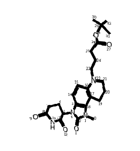 Cn1c(=O)n(C2CCC(=O)NC2=O)c2ccc3c(c21)CCCN3CCCC(=O)OC(C)(C)C